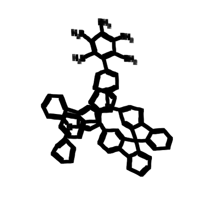 Bc1c(B)c(B)c(-c2ccc(N(c3ccc4c(c3)C3(c5ccccc5-c5ccc(N(c6ccccc6)c6ccccc6)cc53)c3ccccc3-4)c3ccc4c(c3)c3ccccc3n4-c3ccccc3)cc2)c(B)c1B